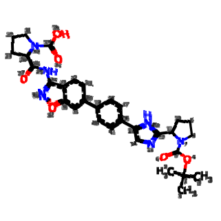 CC(C)(C)OC(=O)N1CCCC1c1ncc(-c2ccc(-c3ccc4c(NC(=O)C5CCCN5C(=O)O)noc4c3)cc2)[nH]1